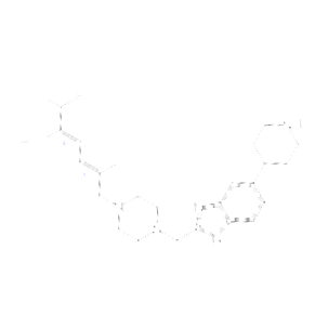 C/C(=C\C=C(/C)C(F)F)CN1CCN(Cc2nc3ccc(C4CCNCC4)cc3[nH]2)CC1